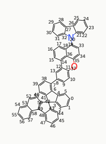 c1ccc2c(c1)-c1c(-c3ccc4c(c3)-c3cccc5c(-n6c7ccccc7c7ccccc76)ccc(c35)O4)cccc1C21c2ccccc2-c2c1ccc1ccccc21